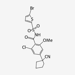 COc1cc(C2(C#N)CCCC2)cc(Cl)c1C(=O)NS(=O)(=O)c1ccc(Br)s1